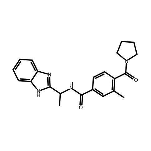 Cc1cc(C(=O)NC(C)c2nc3ccccc3[nH]2)ccc1C(=O)N1CCCC1